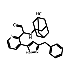 Cl.O=CC(NC12CC3CC(CC(C3)C1)C2)c1ncccc1-c1cc(Cc2ccccc2)n[nH]1